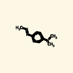 CN=Nc1ccc(N(C)C)cc1